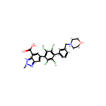 Cn1nc2cc(-c3c(F)c(F)c(-c4cccc(CN5CCOCC5)c4)c(F)c3F)cc(C(=O)O)c2n1